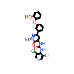 CCn1nc(-c2cccc(Oc3ccccc3O)c2)cc(NC(=O)Nc2c(Cl)cncc2Cl)c1=O